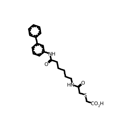 O=C(O)CSCC(=O)NCCCCCC(=O)Nc1cccc(-c2ccccc2)c1